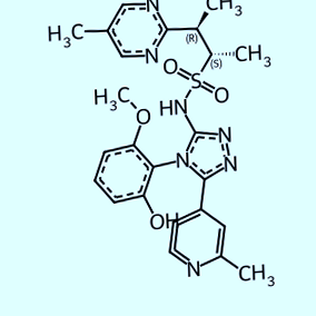 COc1cccc(O)c1-n1c(NS(=O)(=O)[C@@H](C)[C@H](C)c2ncc(C)cn2)nnc1C1=C=C=NC(C)=C1